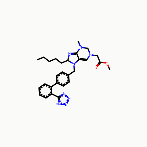 CCCCCC1N=C2C(=CN(CC(=O)OC)CN2C)N1Cc1ccc(-c2ccccc2-c2nnn[nH]2)cc1